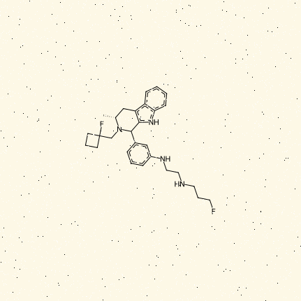 C[C@@H]1Cc2c([nH]c3ccccc23)C(c2cccc(NCCNCCCF)c2)N1CC1(F)CCC1